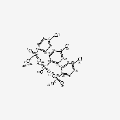 O=S(=O)([O-])c1ccc(Cl)cc1.O=S(=O)([O-])c1ccc(Cl)cc1.O=S(=O)([O-])c1ccc(Cl)cc1.[In+3]